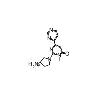 Cn1c(N2CC[C@@H](N)C2)nc(-c2ccncn2)cc1=O